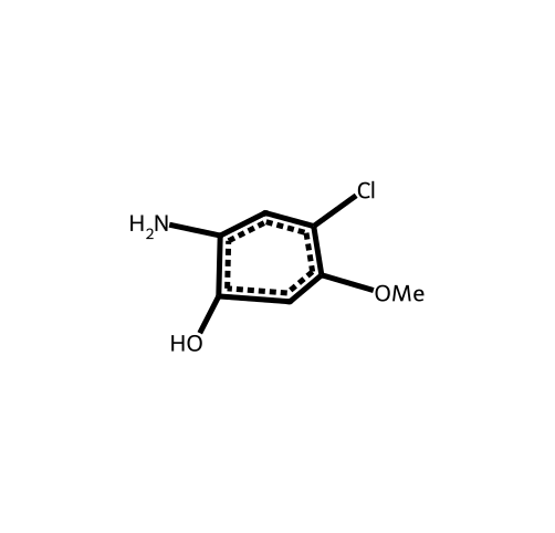 COc1cc(O)c(N)cc1Cl